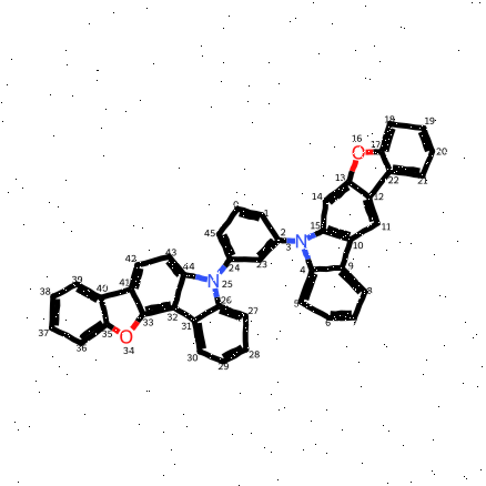 c1cc(-n2c3ccccc3c3cc4c(cc32)oc2ccccc24)cc(-n2c3ccccc3c3c4oc5ccccc5c4ccc32)c1